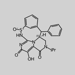 CC(C)N1C[C@@H]2C(c3ccccc3)c3cccc(c3)[S+]([O-])Nc3nc(=O)c(O)c(n32)C1=O